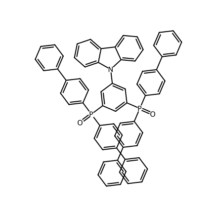 O=P(c1ccc(-c2ccccc2)cc1)(c1ccc(-c2ccccc2)cc1)c1cc(-n2c3ccccc3c3ccccc32)cc(P(=O)(c2ccc(-c3ccccc3)cc2)c2ccc(-c3ccccc3)cc2)c1